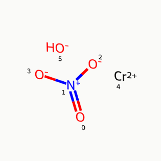 O=[N+]([O-])[O-].[Cr+2].[OH-]